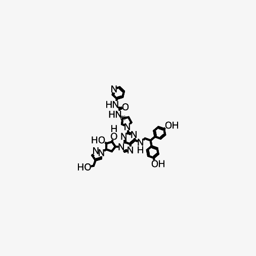 O=C(Nc1cccnc1)N[C@@H]1CCN(c2nc(NCC(c3ccc(O)cc3)c3ccc(O)cc3)c3ncn(C4CC(n5cc(CO)cn5)C(O)C4O)c3n2)C1